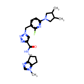 CC1CN(c2ccc(Cn3cc(C(=O)N[C@@H]4CCc5c4ncn5C)nn3)c(F)n2)CC1C